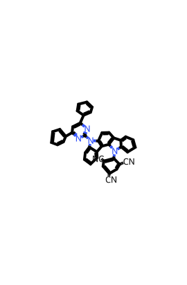 N#Cc1cc(C#N)c(-n2c3ccccc3c3ccc4c(c5ccccc5n4-c4nc(-c5ccccc5)cc(-c5ccccc5)n4)c32)c(C#N)c1